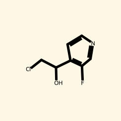 OC(CCl)c1ccncc1F